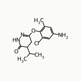 Cc1cc(N)cc(Cl)c1OC1=NNC(=O)C(C(C)C)C1